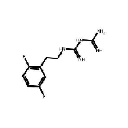 N=C(N)NC(=N)NCCc1cc(F)ccc1F